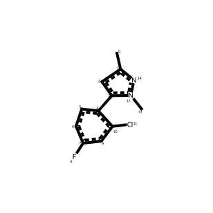 Cc1cc(-c2ccc(F)cc2Cl)n(C)n1